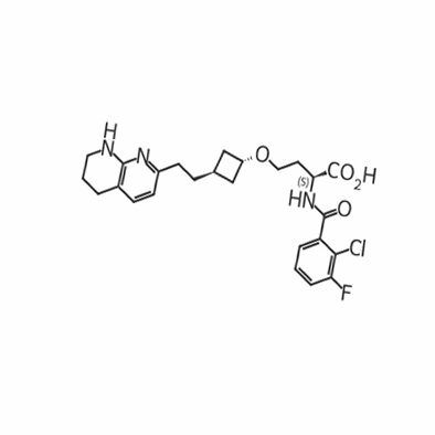 O=C(N[C@@H](CCO[C@H]1C[C@H](CCc2ccc3c(n2)NCCC3)C1)C(=O)O)c1cccc(F)c1Cl